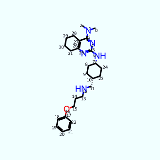 CN(C)c1nc(N[C@H]2CC[C@@H](CNCCCOc3ccccc3)CC2)nc2c1CCCC2